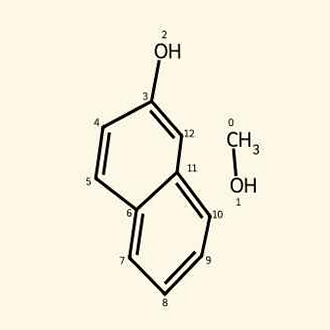 CO.Oc1ccc2ccccc2c1